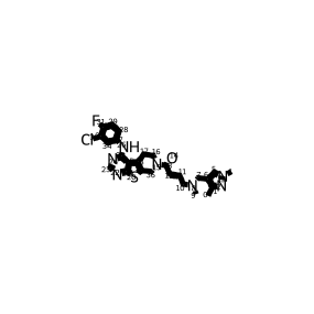 Cc1nn(C)cc1CN(C)C/C=C/C(=O)N1CCc2c(sc3ncnc(Nc4ccc(F)c(Cl)c4)c23)C1